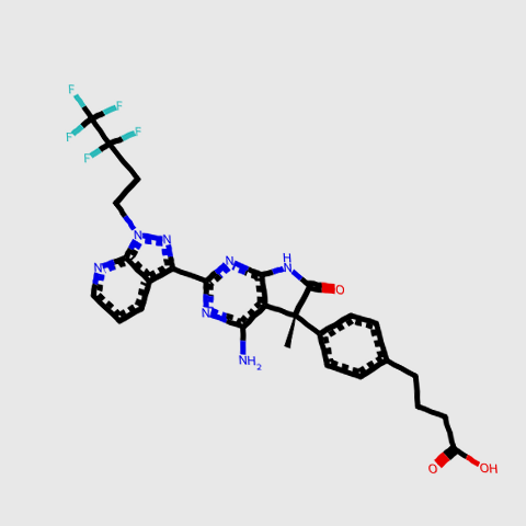 C[C@]1(c2ccc(CCCC(=O)O)cc2)C(=O)Nc2nc(-c3nn(CCC(F)(F)C(F)(F)F)c4ncccc34)nc(N)c21